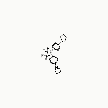 FC(F)(F)C(F)(F)P(c1ccc(N2CCCC2)cc1)c1ccc(N2CCCC2)cc1